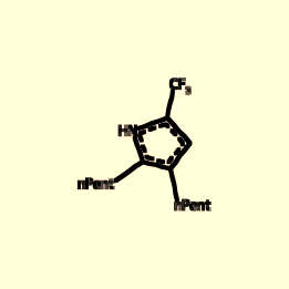 CCCCCc1cc(C(F)(F)F)[nH]c1CCCCC